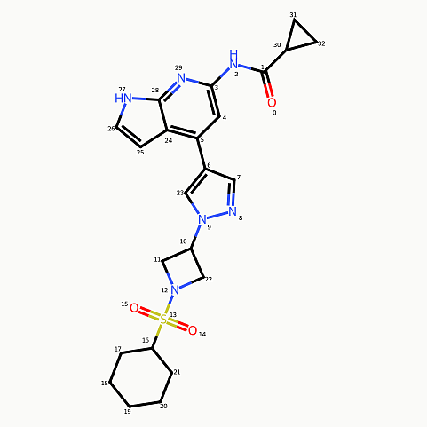 O=C(Nc1cc(-c2cnn(C3CN(S(=O)(=O)C4CCCCC4)C3)c2)c2cc[nH]c2n1)C1CC1